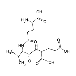 CC(C)C(NC(=O)CCC(N)C(=O)O)C(=O)NC(CCC(=O)O)C(=O)O